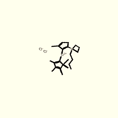 CCCC[Si]1(C2=[C]([Ti+2][C]3=C(C)C(C)=C(C)C3(C)C)C(C)=CC2)CCC1.[Cl-].[Cl-]